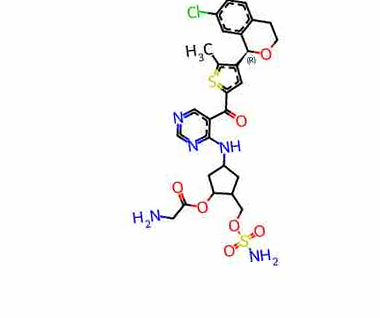 Cc1sc(C(=O)c2cncnc2NC2CC(COS(N)(=O)=O)C(OC(=O)CN)C2)cc1[C@@H]1OCCc2ccc(Cl)cc21